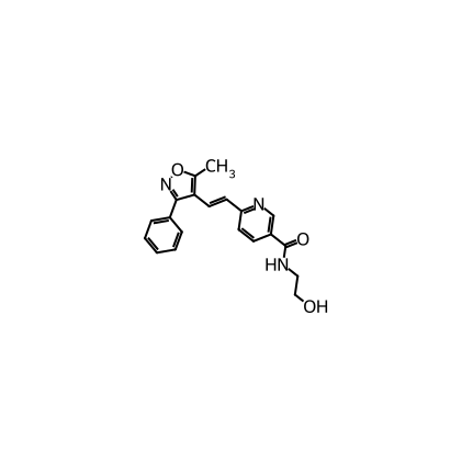 Cc1onc(-c2ccccc2)c1C=Cc1ccc(C(=O)NCCO)cn1